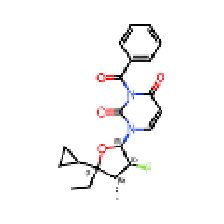 CC[C@@]1(C2CC2)O[C@@H](n2ccc(=O)n(C(=O)c3ccccc3)c2=O)[C@@H](F)[C@@H]1C